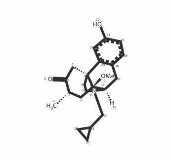 CO[C@@]12C[C@H](C)C(=O)C[C@@]13CCN(CC1CC1)[C@@H]2Cc1ccc(O)cc13